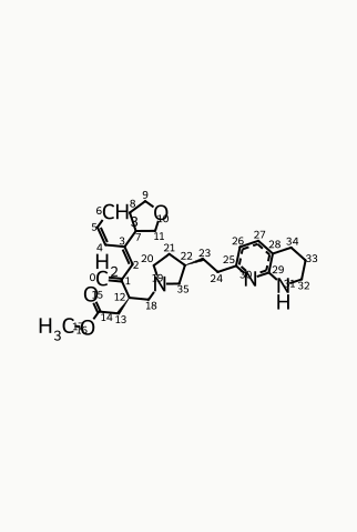 C=C(/C=C(\C=C/C)C1CCOC1)[C@H](CC(=O)OC)CN1CC[C@@H](CCc2ccc3c(n2)NCCC3)C1